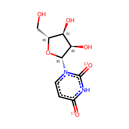 OC[C@H]1O[C@@H](n2ccc(=[17O])[nH]c2=[17O])[C@H](O)[C@@H]1O